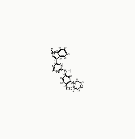 Cn1cc(-c2ccnc(Nc3ccc(C(=O)O)c(N4CCOCC4)c3)n2)c2ccccc21